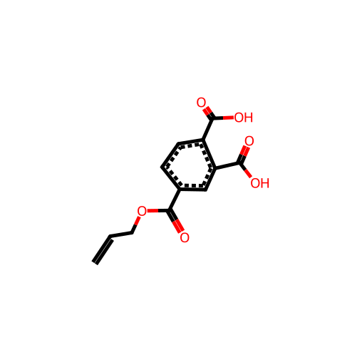 C=CCOC(=O)c1ccc(C(=O)O)c(C(=O)O)c1